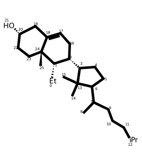 CC[C@H]1[C@@H](C2CCC(C(C)CCCC(C)C)C2(C)C)CC=C2C[C@@H](O)CC[C@]21C